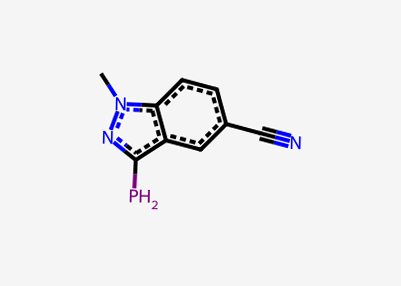 Cn1nc(P)c2cc(C#N)ccc21